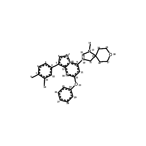 Cc1ccc(-c2cnn3c(NCC4(N(C)C)CCOCC4)cc(Oc4ccccc4)nc23)cc1C